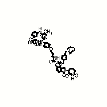 Cc1cnc(Nc2ccc(OCCCNC(=O)NCc3ccc4c(c3OCc3ccc(CN5CCOCC5)cc3)CN([C@H]3CCCC(=O)NC3=O)C4=O)cc2)nc1Nc1cccc(S(=O)(=O)NC(C)(C)C)c1